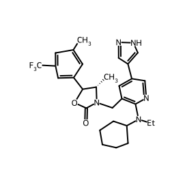 CCN(c1ncc(-c2cn[nH]c2)cc1CN1C(=O)OC(c2cc(C)cc(C(F)(F)F)c2)[C@@H]1C)C1CCCCC1